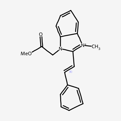 COC(=O)Cn1c(/C=C/c2ccccc2)[n+](C)c2ccccc21